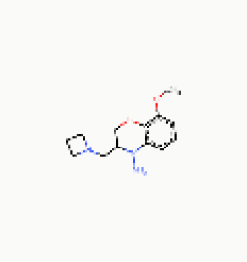 COc1cccc2c1OCC(CN1CCC1)N2N